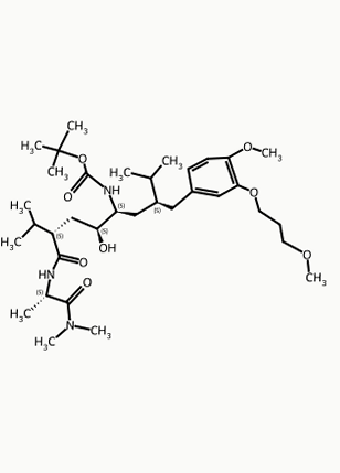 COCCCOc1cc(C[C@@H](C[C@H](NC(=O)OC(C)(C)C)[C@@H](O)C[C@H](C(=O)N[C@@H](C)C(=O)N(C)C)C(C)C)C(C)C)ccc1OC